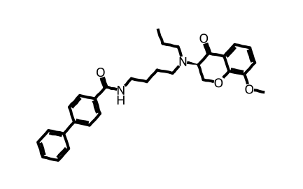 CCCN(CCCCNC(=O)c1ccc(-c2ccccc2)cc1)[C@@H]1COc2c(OC)cccc2C1=O